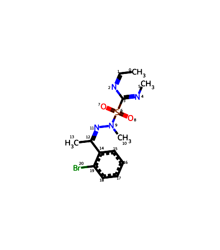 C/C=N\C(=N/C)S(=O)(=O)N(C)/N=C(/C)c1ccccc1Br